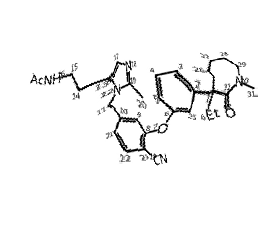 CCC1(c2cccc(Oc3cc(Cn4c(CCNC(C)=O)cnc4C)ccc3C#N)c2)CCCCN(C)C1=O